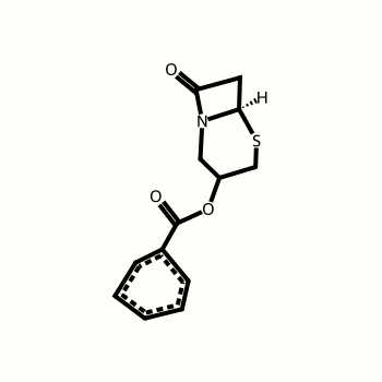 O=C(OC1CS[C@@H]2CC(=O)N2C1)c1ccccc1